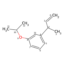 C=C[C](C)c1cccc(OC(C)C)c1